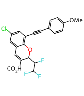 COc1ccc(C#Cc2cc(Cl)cc3c2OC(C(F)C(F)F)C(C(=O)O)=C3)cc1